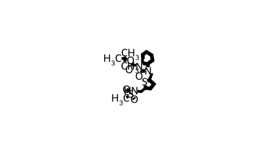 CC(C)(C)OC(=O)n1c(=O)n(Cc2ccc(CNS(C)(=O)=O)s2)c2ccccc21